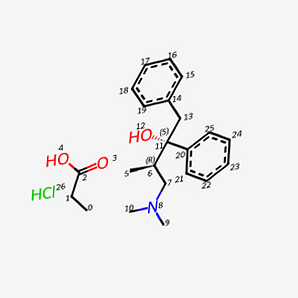 CCC(=O)O.C[C@H](CN(C)C)[C@@](O)(Cc1ccccc1)c1ccccc1.Cl